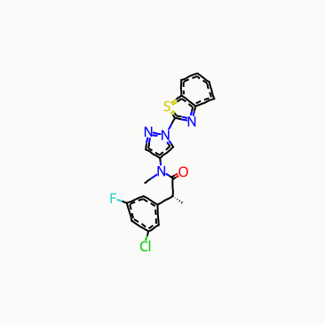 C[C@@H](C(=O)N(C)c1cnn(-c2nc3ccccc3s2)c1)c1cc(F)cc(Cl)c1